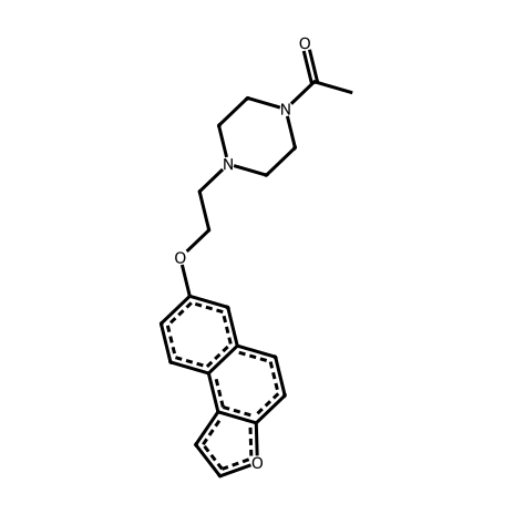 CC(=O)N1CCN(CCOc2ccc3c(ccc4occc43)c2)CC1